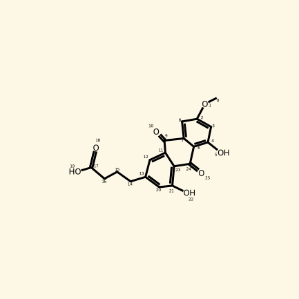 COc1cc(O)c2c(c1)C(=O)c1cc(CCCC(=O)O)cc(O)c1C2=O